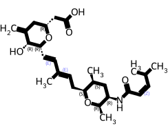 C=C1C[C@H](CC(=O)O)O[C@H](/C=C/C(C)=C/C[C@@H]2O[C@H](C)[C@H](NC(=O)/C=C\C(C)C)C[C@@H]2C)[C@@H]1O